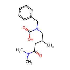 CC(CC(=O)N(C)C)CN(Cc1ccccc1)C(=O)O